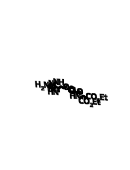 CCOC(=O)CC[C@H](NC(=O)c1ccc(OCCC2CNc3nc(N)nc(N)c32)cc1)C(=O)OCC